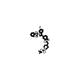 CC(C)(C)OC(=O)N1CCC(Cc2nc3ccc(-c4cn(S(=O)(=O)c5ccccc5)c5cc(F)ccc45)cc3o2)CC1